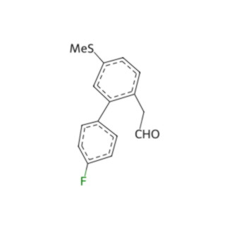 CSc1ccc(CC=O)c(-c2ccc(F)cc2)c1